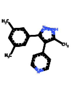 Cc1cc(C)cc(-c2n[nH]c(C)c2-c2ccncc2)c1